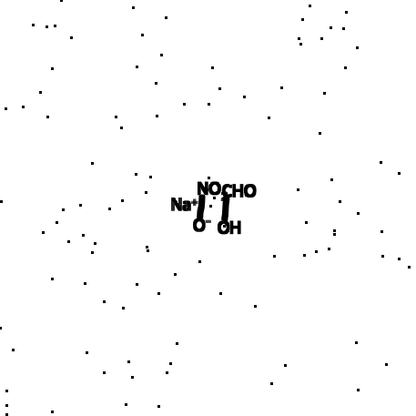 O=CO.O=[N+]([O-])[O-].[Na+]